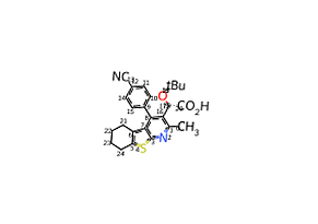 Cc1nc2sc3c(c2c(-c2ccc(C#N)cc2)c1[C@H](OC(C)(C)C)C(=O)O)CCCC3